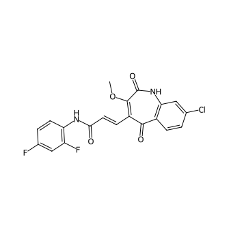 COc1c(/C=C/C(=O)Nc2ccc(F)cc2F)c(=O)c2ccc(Cl)cc2[nH]c1=O